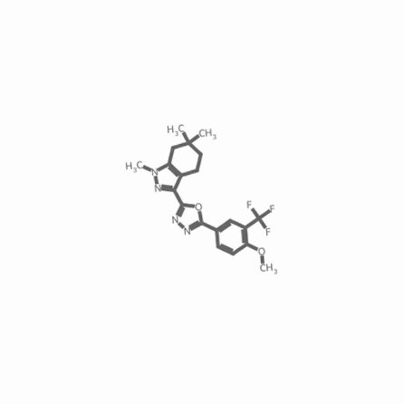 COc1ccc(-c2nnc(-c3nn(C)c4c3CCC(C)(C)C4)o2)cc1C(F)(F)F